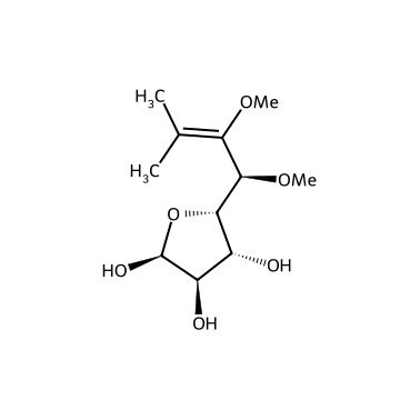 COC(=C(C)C)[C@@H](OC)[C@H]1O[C@H](O)[C@H](O)[C@H]1O